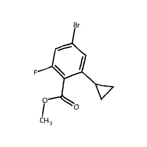 COC(=O)c1c(F)cc(Br)cc1C1CC1